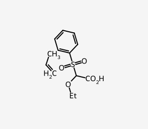 C=CC.CCOC(C(=O)O)S(=O)(=O)c1ccccc1